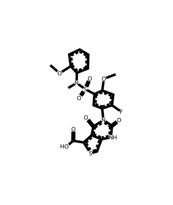 COc1ccccc1N(C)S(=O)(=O)c1cc(-n2c(=O)[nH]c3csc(C(=O)O)c3c2=O)c(F)cc1OC